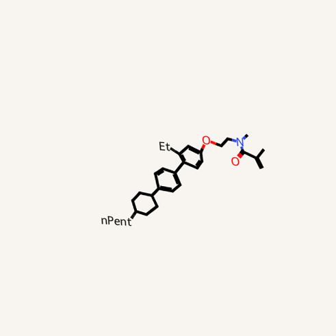 C=C(C)C(=O)N(C)CCOc1ccc(-c2ccc(C3CCC(CCCCC)CC3)cc2)c(CC)c1